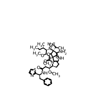 CC[C@H](C)[C@@H]([C@@H](CC(=O)N1CCC[C@H]1[C@H](OC)[C@@H](C)C(=O)N[C@@H](Cc1ccccc1)c1nccs1)OC)N(C)[C@@](C(N)=O)(C(=O)[C@]1(F)CCNC1)C(C)C